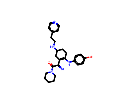 N=C(C(=O)N1CCCCC1)C1=C(Nc2ccc(O)cc2)CCC(NCCc2ccncc2)C1